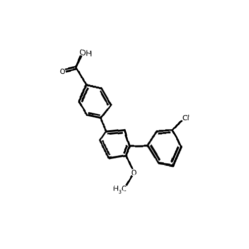 COc1ccc(-c2ccc(C(=O)O)cc2)cc1-c1cccc(Cl)c1